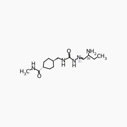 CC[C@H](N)/C=N/NC(=O)NC[C@H]1CC[C@H](C(=O)NC)CC1